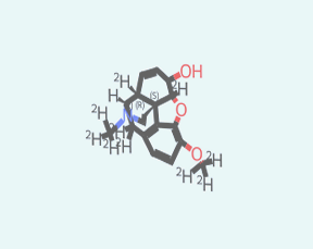 [2H]C([2H])([2H])Oc1ccc2c3c1OC1([2H])C(O)C=C[C@@]4([2H])[C@H](N(C([2H])([2H])[2H])CC[C@]314)C2([2H])[2H]